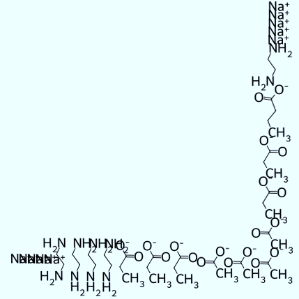 CC(=O)[O-].CC(=O)[O-].CC(=O)[O-].CC(=O)[O-].CCC(=O)[O-].CCC(=O)[O-].CCC(=O)[O-].CCC(=O)[O-].CCC(=O)[O-].CCCC(=O)[O-].NCCN.NCCN.NCCN.NCCN.NCCN.[Na+].[Na+].[Na+].[Na+].[Na+].[Na+].[Na+].[Na+].[Na+].[Na+]